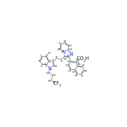 Cc1cccc2c1c(CCc1c(-c3ccc4ccccc4c3C(=O)O)nc3ccccn13)cn2CCCC(F)(F)F